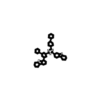 c1ccc(-c2ccc(-c3nc(-c4cc(-c5ccccc5)cc(-c5cccc6c5oc5ccccc56)c4)nc(-c4ccc5c(c4)sc4ccccc45)n3)cc2)cc1